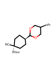 CCCCCC[C@]1(C#N)CC[C@@H](C2OCC(CCC)CO2)CC1